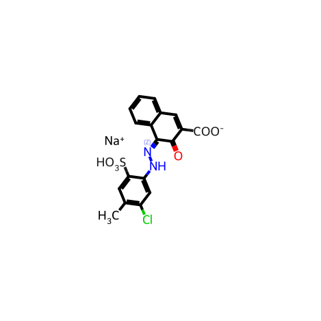 Cc1cc(S(=O)(=O)O)c(N/N=C2\C(=O)C(C(=O)[O-])=Cc3ccccc32)cc1Cl.[Na+]